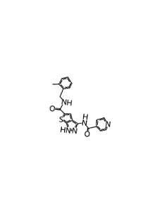 Cc1ccccc1CNC(=O)c1cc2c(NC(=O)c3ccncc3)n[nH]c2s1